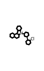 Clc1ccccc1-c1cccc(-n2c3ccccc3c3c4ccccc4ccc32)c1